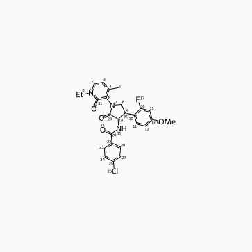 CCn1ccc(C)c(N2C[C@@H](c3ccc(OC)cc3F)C(NC(=O)c3ccc(Cl)cc3)C2=O)c1=O